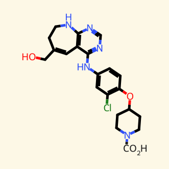 O=C(O)N1CCC(Oc2ccc(Nc3ncnc4c3C=C(CO)CCN4)cc2Cl)CC1